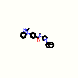 Cc1nc2ccccc2n1-c1ccc(C(=O)N(C)[C@@H]2CCN(C3C4CC5CC(C4)CC3C5)C2)cc1